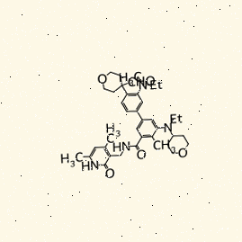 CCN(C)c1cc(-c2cc(C(=O)NCc3c(C)cc(C)[nH]c3=O)c(C)c(N(CC)C3CCOCC3)c2)ccc1C1(C=O)CCOCC1